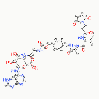 CC(C)[C@H](NC(=O)CCN1C(=O)C=CC1=O)C(=O)N[C@@H](C)C(=O)Nc1ccc(COC(=O)NCC(=O)N[C@@H]2[C@@H](O)[C@H](O)[C@H](Nc3ncnc4nc[nH]c34)O[C@H]2CO)cc1